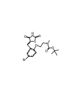 CN(CCOc1ccc(Br)cc1C=C1SC(=S)NC1=O)C(=O)OC(C)(C)C